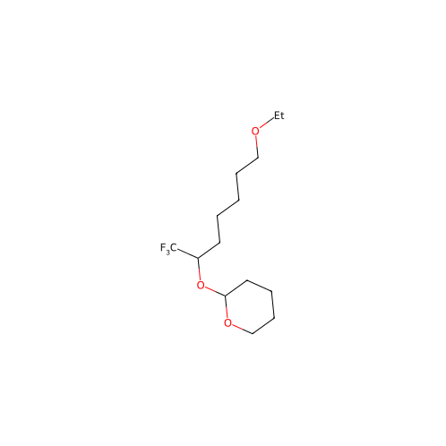 CCOCCCCCC(OC1CCCCO1)C(F)(F)F